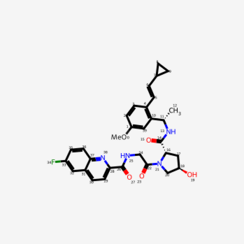 COc1ccc(/C=C/C2CC2)c([C@H](C)NC(=O)[C@@H]2C[C@@H](O)CN2C(=O)CNC(=O)c2ccc3cc(F)ccc3n2)c1